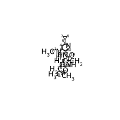 CCNc1cc(C2CC2)ncc1NC(=O)C(C)(C)NC(=O)OC(C)(C)C